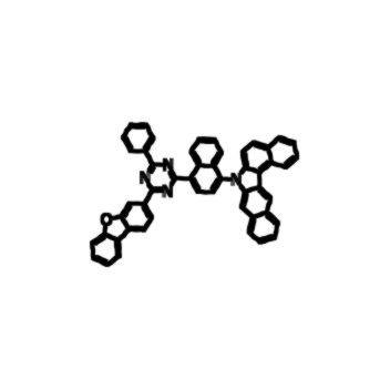 c1ccc(-c2nc(-c3ccc4c(c3)oc3ccccc34)nc(-c3ccc(-n4c5cc6ccccc6cc5c5c6ccccc6ccc54)c4ccccc34)n2)cc1